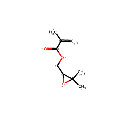 C=C(C)C(=O)OCC1OC1(C)C